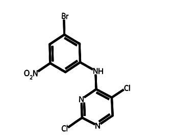 O=[N+]([O-])c1cc(Br)cc(Nc2nc(Cl)ncc2Cl)c1